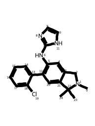 CN1Cc2cc(Nc3ncc[nH]3)c(-c3ccccc3Cl)cc2C1(C)C